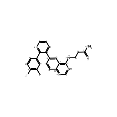 Cc1cc(-c2ncccc2-c2ccc3ncnc(NCCC(N)=O)c3c2)ccc1F